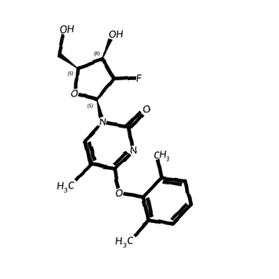 Cc1cn([C@H]2O[C@@H](CO)[C@@H](O)C2F)c(=O)nc1Oc1c(C)cccc1C